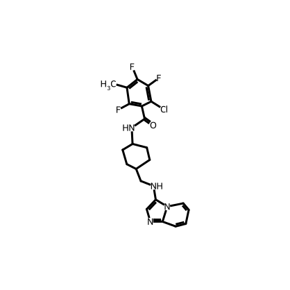 Cc1c(F)c(F)c(Cl)c(C(=O)NC2CCC(CNc3cnc4ccccn34)CC2)c1F